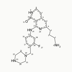 NCCCc1cc2cc[nH]c(=O)c2c(Nc2ccc(CN3CCNCC3)c(F)c2)n1